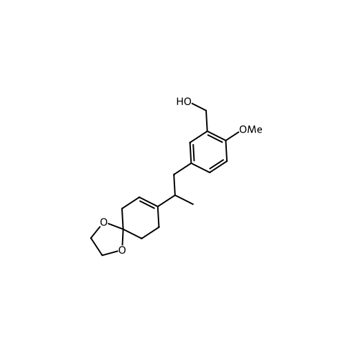 COc1ccc(CC(C)C2=CCC3(CC2)OCCO3)cc1CO